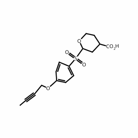 CC#CCOc1ccc(S(=O)(=O)C2CC(C(=O)O)CCO2)cc1